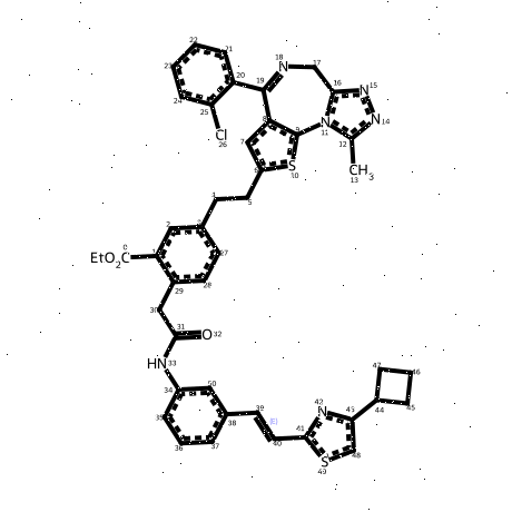 CCOC(=O)c1cc(CCc2cc3c(s2)-n2c(C)nnc2CN=C3c2ccccc2Cl)ccc1CC(=O)Nc1cccc(/C=C/c2nc(C3CCC3)cs2)c1